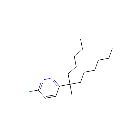 CCCCCCC(C)(CCCCC)c1ccc(Cl)nn1